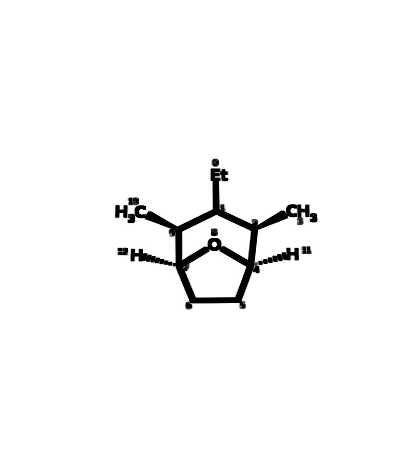 CCC1[C@@H](C)[C@H]2CC[C@H](O2)[C@H]1C